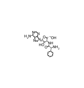 Nc1ncnc2c1ncn2[C@@H]1O[C@H](CO)C(NC(=O)C(N)c2ccccc2)[C@@H]1O